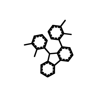 Cc1cccc(-c2cccc3c2C(c2cccc(C)c2C)c2ccccc2-3)c1C